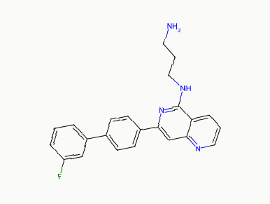 NCCCNc1nc(-c2ccc(-c3cccc(F)c3)cc2)cc2ncccc12